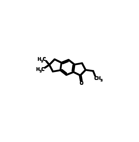 CCC1Cc2cc3c(cc2C1=O)CC(C)(C)C3